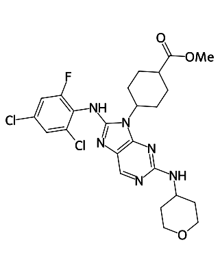 COC(=O)C1CCC(n2c(Nc3c(F)cc(Cl)cc3Cl)nc3cnc(NC4CCOCC4)nc32)CC1